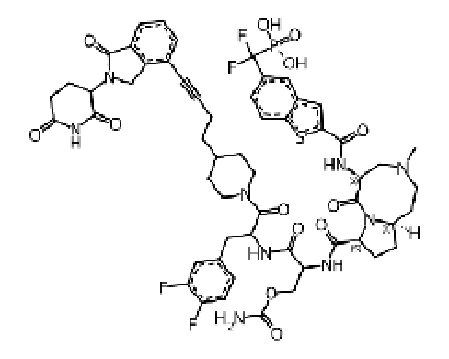 CN1CC[C@H]2CC[C@@H](C(=O)NC(COC(N)=O)C(=O)NC(Cc3ccc(F)c(F)c3)C(=O)N3CCC(CCC#Cc4cccc5c4CN(C4CCC(=O)NC4=O)C5=O)CC3)N2C(=O)[C@@H](NC(=O)c2cc3cc(C(F)(F)P(=O)(O)O)ccc3s2)C1